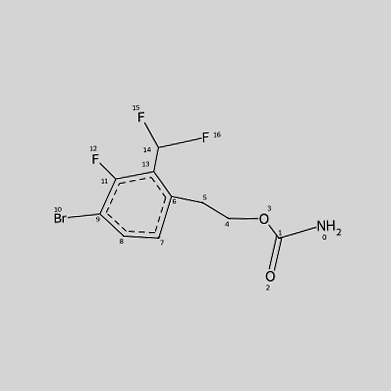 NC(=O)OCCc1ccc(Br)c(F)c1C(F)F